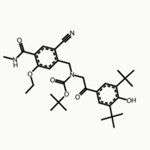 CCOc1cc(CN(CC(=O)c2cc(C(C)(C)C)c(O)c(C(C)(C)C)c2)C(=O)OC(C)(C)C)c(C#N)cc1C(=O)NC